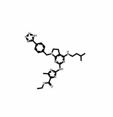 CCOC(=O)c1sc(Nc2nc(NCCC(C)C)c3c(n2)N(Cc2ccc(-c4nnn[nH]4)cc2)CC3)nc1C